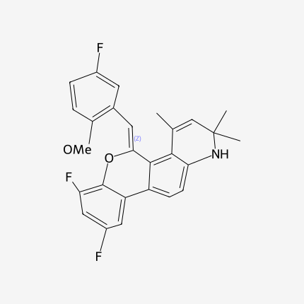 COc1ccc(F)cc1/C=C1\Oc2c(F)cc(F)cc2-c2ccc3c(c21)C(C)=CC(C)(C)N3